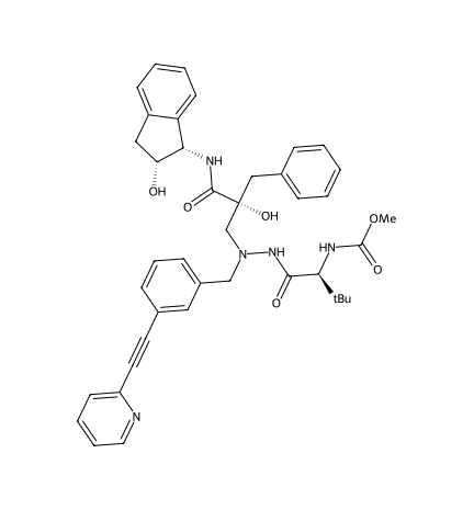 COC(=O)N[C@H](C(=O)NN(Cc1cccc(C#Cc2ccccn2)c1)C[C@](O)(Cc1ccccc1)C(=O)N[C@H]1c2ccccc2C[C@H]1O)C(C)(C)C